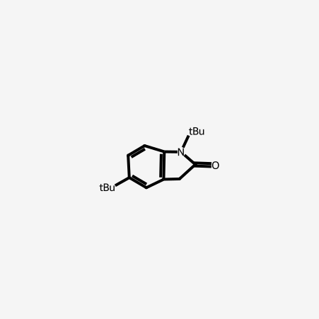 CC(C)(C)c1ccc2c(c1)CC(=O)N2C(C)(C)C